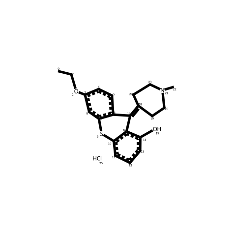 CCOc1ccc2c(c1)Sc1cccc(O)c1C2=C1CCN(C)CC1.Cl